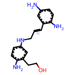 Nc1ccc(N)c(/C=C/CNc2ccc(N)c(CCO)c2)c1